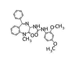 COc1ccc(NC(=O)NC2N=C(c3ccccc3)c3ccccc3N(C)C2=O)c(OC)c1